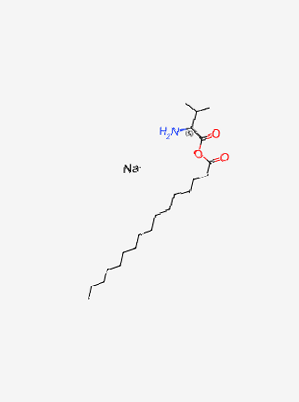 CCCCCCCCCCCCCCCC(=O)OC(=O)[C@@H](N)C(C)C.[Na]